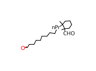 CCCC1(C)CCCCC1(C)C=O.CCCCCCCCCC=O